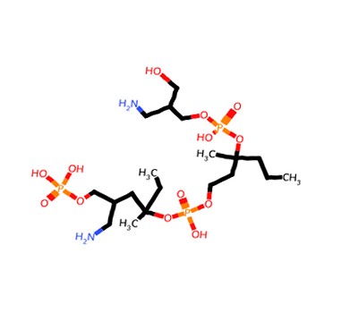 CCCC(C)(CCOP(=O)(O)OC(C)(CC)CC(CN)COP(=O)(O)O)OP(=O)(O)OCC(CN)CO